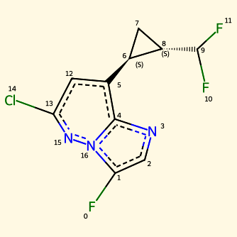 Fc1cnc2c([C@H]3C[C@@H]3C(F)F)cc(Cl)nn12